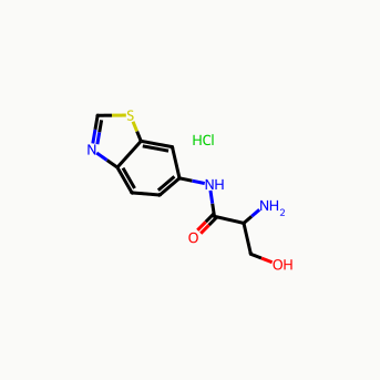 Cl.NC(CO)C(=O)Nc1ccc2ncsc2c1